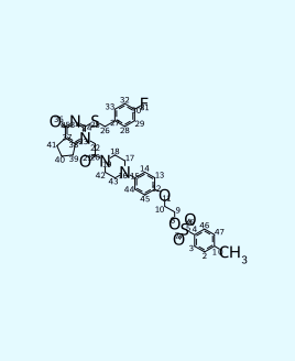 Cc1ccc(S(=O)(=O)OCCOc2ccc(N3CCN(C(=O)Cn4c(SCc5ccc(F)cc5)nc(=O)c5c4CCC5)CC3)cc2)cc1